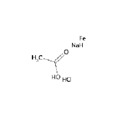 CC(=O)O.Cl.[Fe].[NaH]